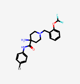 CCc1ccc(NC(=O)C2(N)CCN(Cc3ccccc3OC(F)F)CC2)cc1